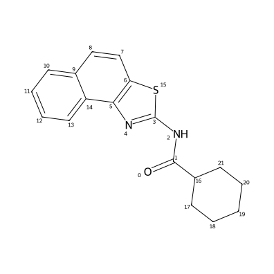 O=C(Nc1nc2c(ccc3ccccc32)s1)C1CCCCC1